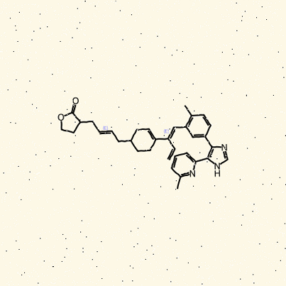 C=C/C(=C\c1cc(-c2nc[nH]c2-c2cccc(C)n2)ccc1C)C1=CCC(C/C=C/CC2CCOC2=O)CC1